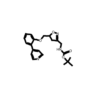 CC(C)(C)OC(=O)NCC1=NOC(COc2ccccc2-c2ccncc2)C1